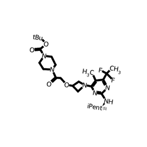 CCC[C@H](C)Nc1nc(N2CC(OCC(=O)N3CCN(C(=O)OC(C)(C)C)CC3)C2)c(C)c(C(C)(F)F)n1